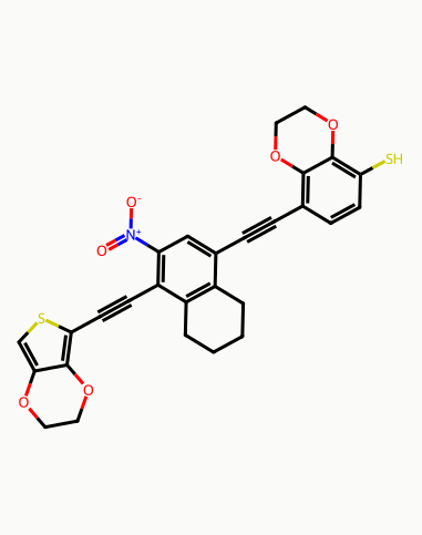 O=[N+]([O-])c1cc(C#Cc2ccc(S)c3c2OCCO3)c2c(c1C#Cc1scc3c1OCCO3)CCCC2